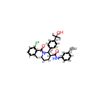 Cc1cccc(F)c1C(=O)N1CCCC(C(=O)Nc2cccc(C(C)(C)C)c2)C1c1ccc(C(C)(C)O)cc1